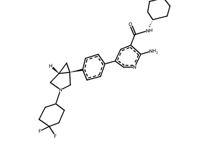 Nc1ncc(-c2ccc([C@]34C[C@H]3CN(C3CCC(F)(F)CC3)C4)cc2)cc1C(=O)N[C@H]1CC[C@H](O)CC1